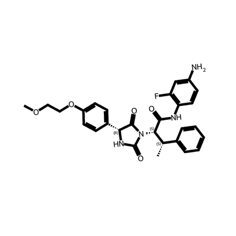 COCCOc1ccc([C@H]2NC(=O)N([C@H](C(=O)Nc3ccc(N)cc3F)[C@@H](C)c3ccccc3)C2=O)cc1